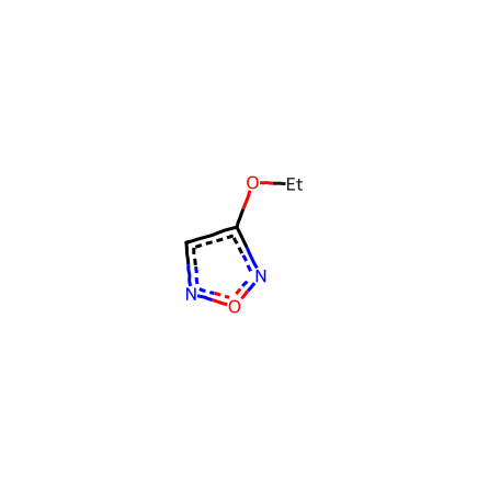 CCOc1cnon1